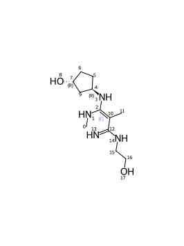 CN/C(N[C@@H]1CC[C@@H](O)C1)=C(/C)C(=N)NCCO